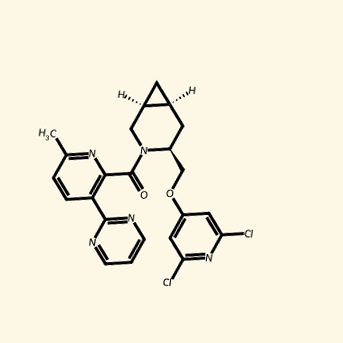 Cc1ccc(-c2ncccn2)c(C(=O)N2C[C@H]3C[C@H]3C[C@H]2COc2cc(Cl)nc(Cl)c2)n1